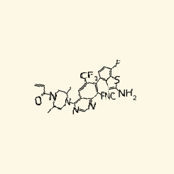 C=CC(=O)N1CC(C)N(c2ncnc3c(F)c(-c4ccc(F)c5sc(N)c(C#N)c45)c(C(F)(F)F)cc23)CC1C